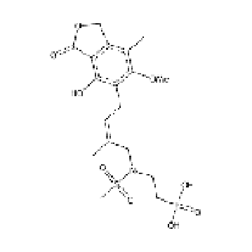 COc1c(C)c2c(c(O)c1CC=C(C)CN(CCP(=O)(O)O)S(C)(=O)=O)C(=O)OC2